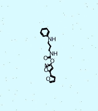 O=C(NCCCNc1ccccc1)Oc1cc(-c2ccco2)on1